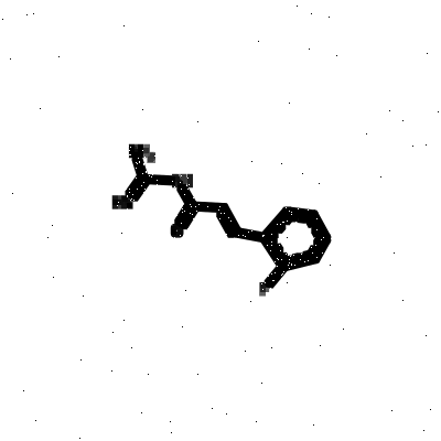 N=C(N)NC(=O)C=Cc1ccccc1F